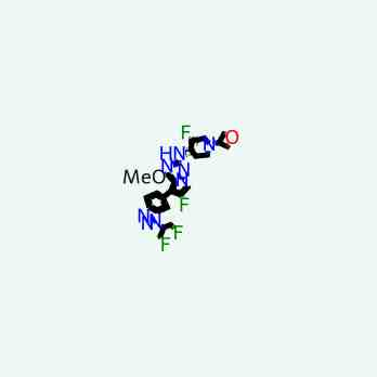 COc1nc(N[C@H]2CCN(C3COC3)C[C@@H]2F)nn2cc(F)c(-c3ccc4nnn(C(CF)CF)c4c3)c12